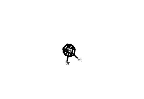 CC[C]12[CH]3[CH]4[CH]5[C]1(Br)[Fe]45321678[CH]2[CH]1[CH]6[CH]7[CH]28